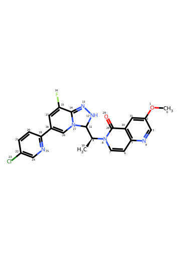 COc1cnc2ccn([C@@H](C)C3NN=C4C(F)=CC(c5ccc(Cl)cn5)=CN43)c(=O)c2c1